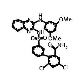 COc1cc(Nc2nc3ccccc3nc2NS(=O)(=O)c2cccc(-c3c(Cl)cc(Cl)cc3C(N)=O)c2)cc(OC)c1